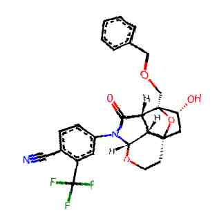 N#Cc1ccc(N2C(=O)[C@H]3[C@H]4[C@@H]2OCC[C@]42C[C@@H](O)[C@@]3(COCc3ccccc3)O2)cc1C(F)(F)F